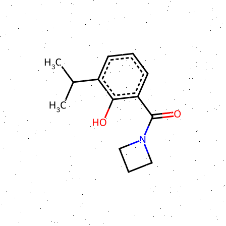 CC(C)c1cccc(C(=O)N2CCC2)c1O